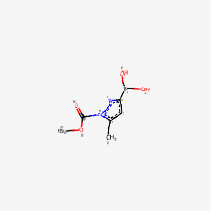 Cc1cc(B(O)O)nn1C(=O)OC(C)(C)C